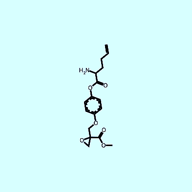 C=CCCC(N)C(=O)Oc1ccc(OCC2(C(=O)OC)CO2)cc1